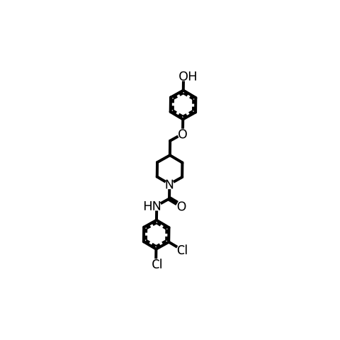 O=C(Nc1ccc(Cl)c(Cl)c1)N1CCC(COc2ccc(O)cc2)CC1